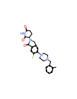 Cc1ccccc1CN1CCN(c2cc3c(cc2F)C(=O)N(C2CCC(=O)NC2=O)C3)CC1